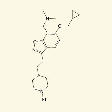 CCN1CCC(CCc2noc3c(CN(C)C)c(OCC4CC4)ccc23)CC1